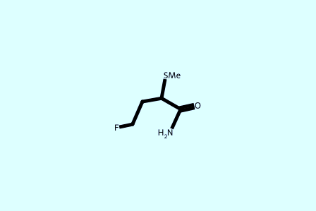 CSC(CCF)C(N)=O